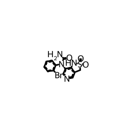 NC(=O)N(c1ccccc1Br)c1cncc2c1NS(=O)(=O)C2